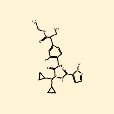 CC(C)n1nccc1C(=O)N[C@H](C(=O)Nc1ccc(C(CO)C(=O)NCC(F)(F)F)cc1F)C(C1CC1)C1CC1